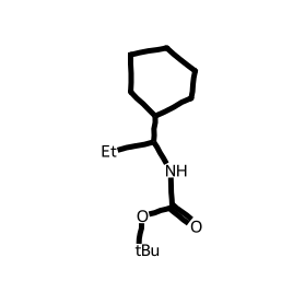 CCC(NC(=O)OC(C)(C)C)C1CCCCC1